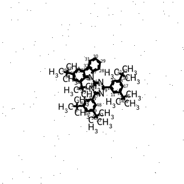 CC(C)(C)c1cc(-c2nc(-c3cc(C(C)(C)C)cc(C(C)(C)C)c3)nc(-n3c4ccccc4c4cc(C(C)(C)C)cc(C(C)(C)C)c43)n2)cc(C(C)(C)C)c1